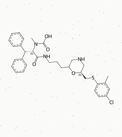 Cc1cc(Cl)ccc1SC[C@@H]1CNCC(CCCNC(=O)[C@H](C(c2ccccc2)c2ccccc2)N(C)C(=O)O)O1